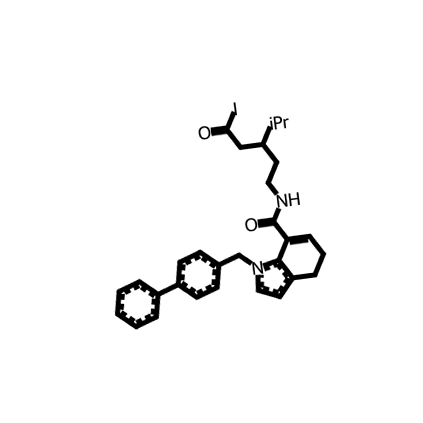 CC(C)C(CCNC(=O)C1=CCCc2ccn(Cc3ccc(-c4ccccc4)cc3)c21)CC(=O)I